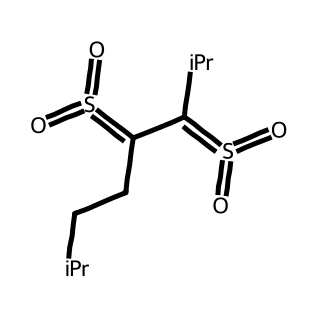 CC(C)CCC(C(C(C)C)=S(=O)=O)=S(=O)=O